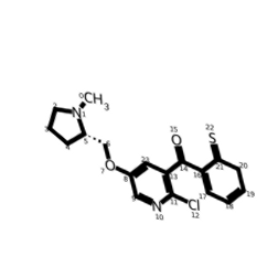 CN1CCC[C@H]1COc1cnc(Cl)c(C(=O)C2=CC=CCC2=S)c1